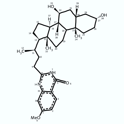 COc1ccc2c(=O)[nH]c(CC[C@@H](C)[C@H]3CC[C@H]4[C@H]5C(CC[C@]34C)[C@@]3(C)CC[C@@H](O)C[C@H]3C[C@@H]5O)nc2c1